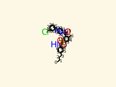 CCCCc1ccc(NS(=O)(=O)c2ccc(C)c(C(=O)N3CCN(c4cccc(Cl)c4)CC3)c2)cc1